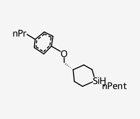 CCCCC[Si@H]1CC[C@H](COc2ccc(CCC)cc2)CC1